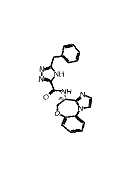 O=C(N[C@H]1COc2ccccc2-n2ccnc21)c1nnc(Cc2ccccc2)[nH]1